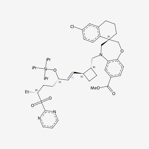 CC[C@H](CC[C@@H](/C=C/[C@@H]1CC[C@H]1CN1C[C@@]2(CCCc3cc(Cl)ccc32)COc2ccc(C(=O)OC)cc21)O[Si](C(C)C)(C(C)C)C(C)C)S(=O)(=O)c1ncccn1